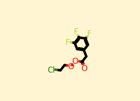 O=C(Cc1cc(F)c(F)c(F)c1)OOCCCl